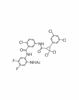 CC(=O)Nc1cc(F)c(F)cc1NC(=O)c1cc(NC(=O)C2C(c3cc(Cl)cc(Cl)c3)C2(Cl)Cl)ccc1Cl